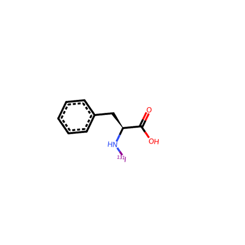 O=C(O)[C@H](Cc1ccccc1)N[131I]